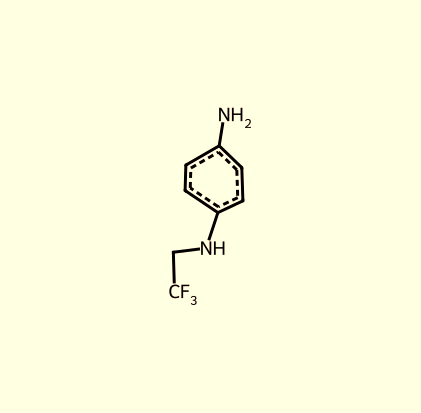 Nc1ccc(NCC(F)(F)F)cc1